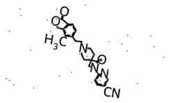 Cc1c(CCN2CCC3(CC2)CN(c2ccc(C#N)cn2)C3=O)ccc2c1COC2=O